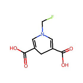 O=C(O)C1=CN(CF)C=C(C(=O)O)C1